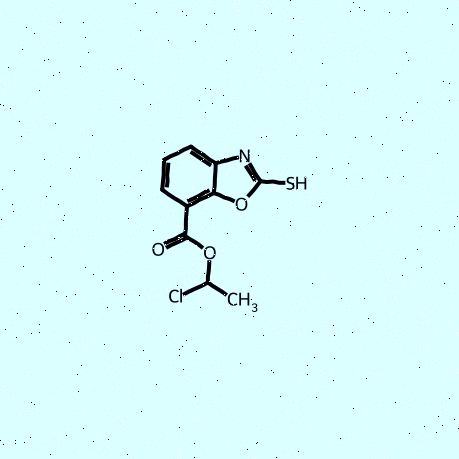 CC(Cl)OC(=O)c1cccc2nc(S)oc12